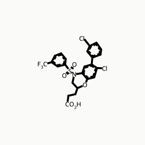 O=C(O)CCC1CN(S(=O)(=O)c2cccc(C(F)(F)F)c2)c2cc(-c3cccc(Cl)c3)c(Cl)cc2O1